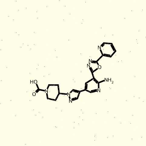 Nc1ncc(-c2cnn(C3CCN(C(=O)O)CC3)c2)cc1-c1nnc(-c2ccccn2)o1